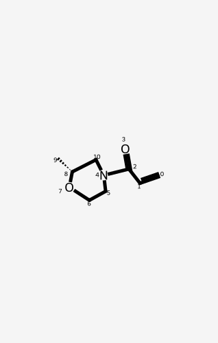 C=CC(=O)N1CCO[C@H](C)C1